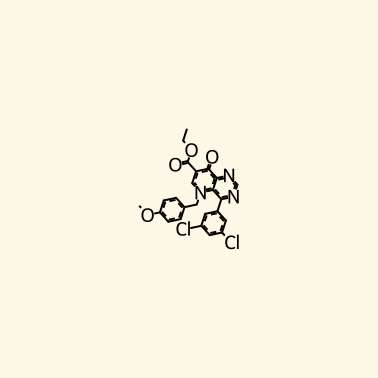 CCOC(=O)c1cn(Cc2ccc(OC)cc2)c2c(-c3cc(Cl)cc(Cl)c3)ncnc2c1=O